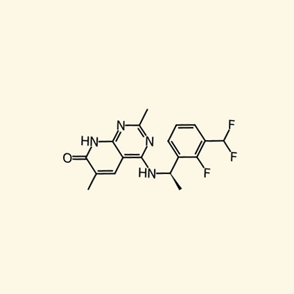 Cc1nc(N[C@H](C)c2cccc(C(F)F)c2F)c2cc(C)c(=O)[nH]c2n1